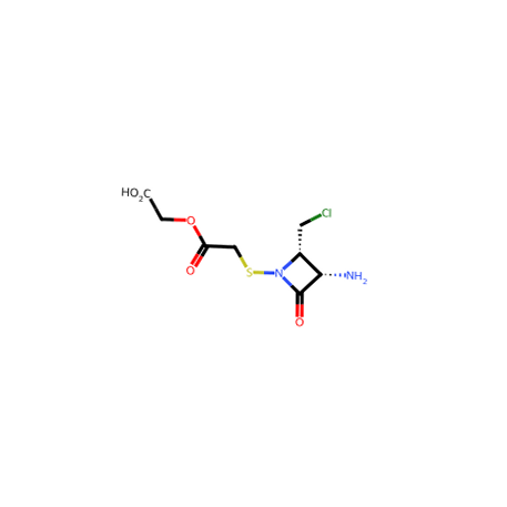 N[C@@H]1C(=O)N(SCC(=O)OCC(=O)O)[C@@H]1CCl